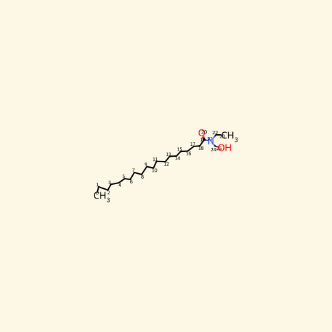 CCCCCCCCCCCCCCCCCCCC(=O)N(CC)CO